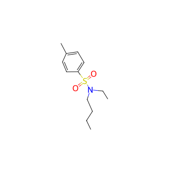 CCCCN(CC)S(=O)(=O)c1ccc(C)cc1